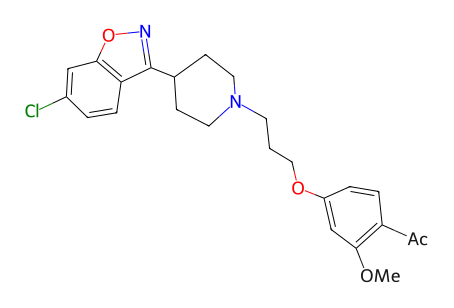 COc1cc(OCCCN2CCC(c3noc4cc(Cl)ccc34)CC2)ccc1C(C)=O